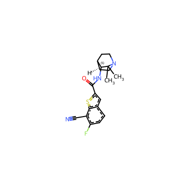 CC1(C)[C@@H](NC(=O)c2cc3ccc(F)c(C#N)c3s2)C2CCN1CC2